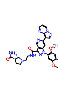 COc1cc2c(cc1-n1nc(C(=O)NCCN3CC[C@@H](C(N)=O)C3)c3cnc(-c4cnn5cccnc45)cc31)OCCN2